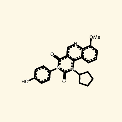 COc1cccc2c1ncc1c(=O)n(-c3ccc(O)cc3)c(=O)n(C3CCCC3)c12